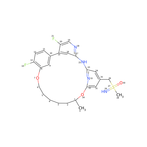 CC1CCCCCOc2cc(ccc2F)-c2cc(ncc2F)Nc2cc(CS(C)(=N)=O)cc(n2)O1